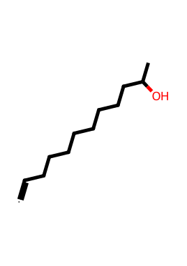 [CH]=CCCCCCCCCC(C)O